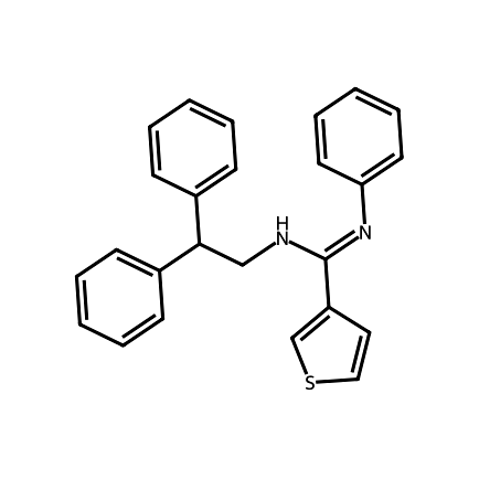 c1ccc(/N=C(\NCC(c2ccccc2)c2ccccc2)c2ccsc2)cc1